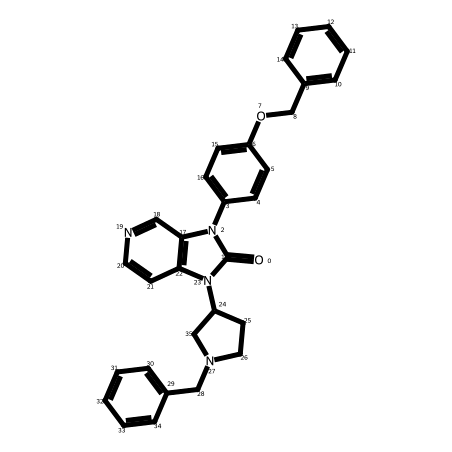 O=c1n(-c2ccc(OCc3ccccc3)cc2)c2cnccc2n1C1CCN(Cc2ccccc2)C1